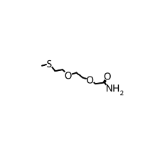 CSCCOCCOCC(N)=O